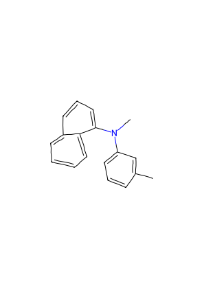 Cc1cccc(N(C)c2cccc3ccccc23)c1